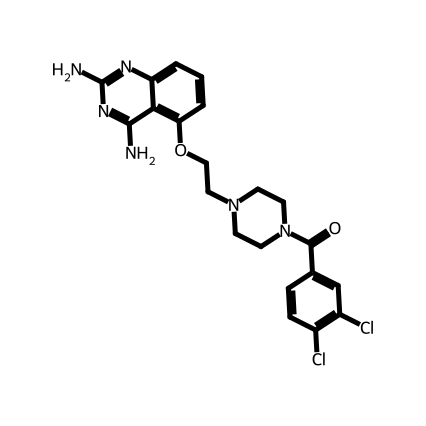 Nc1nc(N)c2c(OCCN3CCN(C(=O)c4ccc(Cl)c(Cl)c4)CC3)cccc2n1